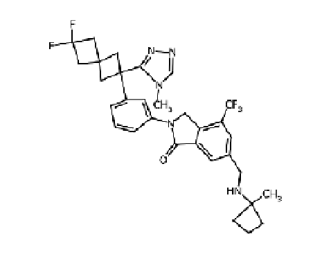 Cn1cnnc1C1(c2cccc(N3Cc4c(cc(CNC5(C)CCC5)cc4C(F)(F)F)C3=O)c2)CC2(CC(F)(F)C2)C1